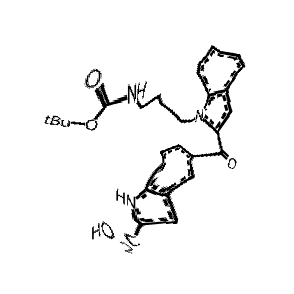 CC(C)(C)OC(=O)NCCCn1c(C(=O)c2ccc3[nH]c(C(=O)O)cc3c2)cc2ccccc21